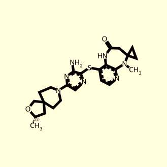 C[C@H]1CC2(CCN(c3cnc(Sc4ccnc5c4NC(=O)CC4(CC4)N5C)c(N)n3)CC2)CO1